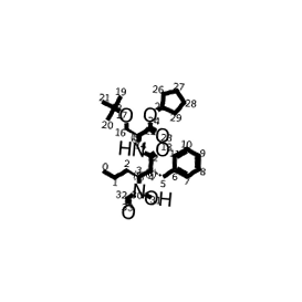 CCC[C@@H]([C@@H](Cc1ccccc1)C(=O)N[C@@H](COC(C)(C)C)C(=O)OC1CCCC1)N(O)C=O